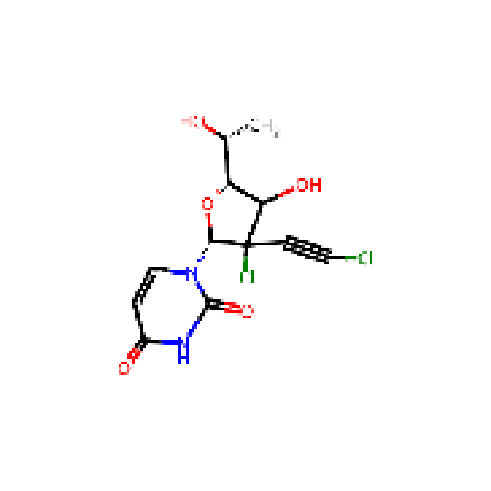 C[C@@H](O)[C@H]1O[C@@H](n2ccc(=O)[nH]c2=O)C(Cl)(C#CCl)C1O